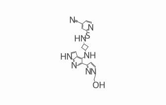 N#Cc1ccnc(SN[C@H]2C[C@@H](Nc3c(-c4ccn(CCO)n4)cnc4[nH]ccc34)C2)c1